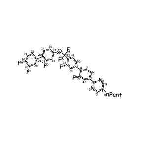 CCCCCc1cnc(-c2ccc(-c3ccc(C(F)(F)Oc4ccc(-c5ccc(F)c(F)c5)c(F)c4)c(F)c3)c(F)c2)nc1